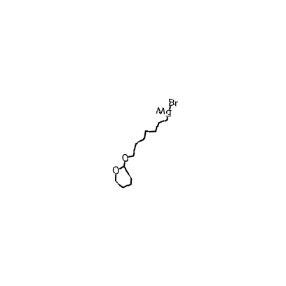 [Br][Mg][CH2]CCCCCCOC1CCCCO1